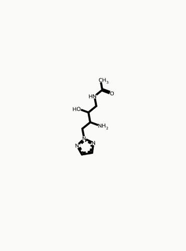 CC(=O)NCC(O)C(N)Cn1nccn1